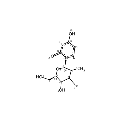 CC1C(F)C(O)[C@@H](CO)O[C@H]1n1ccc(O)nc1=O